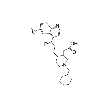 COc1ccc2nccc([C@H](F)CC[C@@H]3CCN(CC4CCCCC4)C[C@@H]3CC(=O)O)c2c1